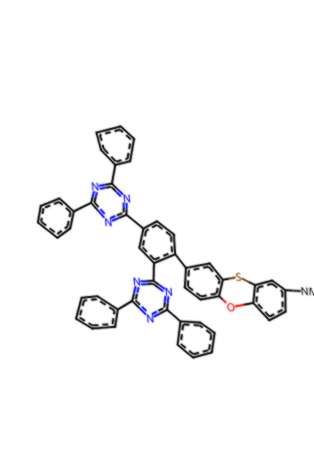 CNc1ccc2c(c1)Sc1cc(-c3ccc(-c4nc(-c5ccccc5)nc(-c5ccccc5)n4)cc3-c3nc(-c4ccccc4)nc(-c4ccccc4)n3)ccc1O2